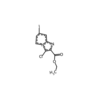 CCOC(=O)c1nc2cc(I)ccn2c1Cl